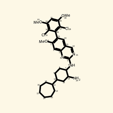 COc1cc2nc(NC3CCC(C4CCCCCC4)CC3N)ncc2cc1-c1c(Cl)c(OC)cc(OC)c1Cl